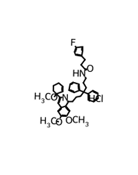 COc1cc2cc(C3(OC)C=CCCC3)nc(CCCC(CCCNC(=O)CCc3ccc(F)cc3)(c3ccccc3)c3ccccc3)c2cc1OC.Cl